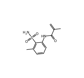 C=C(C)C(=O)Nc1cccc(C)c1S(N)(=O)=O